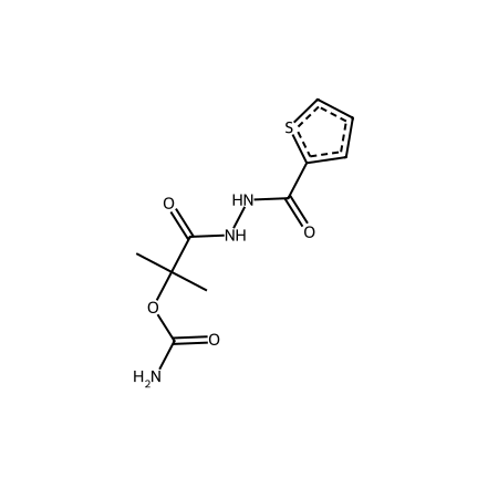 CC(C)(OC(N)=O)C(=O)NNC(=O)c1cccs1